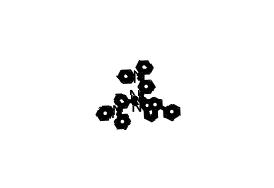 c1ccc(-c2ccc3c4c(cccc24)-c2nc(-c4cccc(N(c5ccccc5)c5ccccc5)c4)nc(-c4cccc(N(c5ccccc5)c5ccccc5)c4)c2-3)cc1